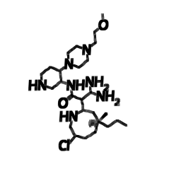 CCC[C@]1(C)CCC(Cl)CNC(C(C(=O)NC2CNCCC2N2CCN(CCOC)CC2)C(N)N)C1